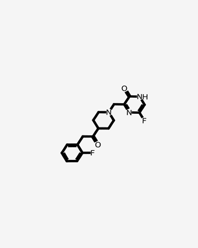 O=C(Cc1ccccc1F)C1CCN(Cc2nc(F)c[nH]c2=O)CC1